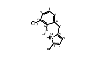 Cc1ccc(Cc2cccc(Cl)c2F)[nH]1